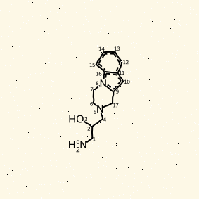 NCC(O)CN1CCn2c(cc3ccccc32)C1